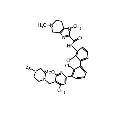 COc1nc(-c2cccc(-c3cccc(NC(=O)c4nc5c(n4C)CCN(C)C5)c3Cl)c2Cl)cc(C)c1CN1CCN(C(C)=O)CC1